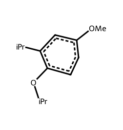 [CH2]C(C)c1cc(OC)ccc1OC(C)C